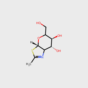 CC1=NC2[C@@H](O)[C@H](O)C(CO)O[C@H]2S1